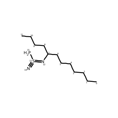 CCCCCCCC(CCCC)N=S(#N)P